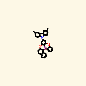 Cc1ccc2c(c1)c1cc(C)ccc1n2-c1cc2c3c(c1)Oc1ccc4ccccc4c1P3(=S)c1ccccc1O2